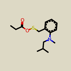 CCC(=O)OSCc1ccccc1N(C)CC(C)C